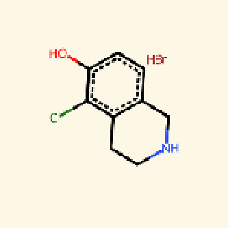 Br.Oc1ccc2c(c1Cl)CCNC2